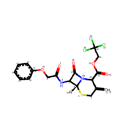 C=C1CS[C@@H]2C(NC(=O)COc3ccccc3)C(=O)N2C1C(=O)OCC(Cl)(Cl)Cl